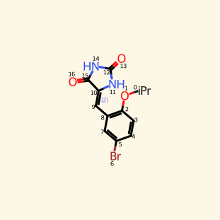 CC(C)Oc1ccc(Br)cc1/C=C1\NC(=O)NC1=O